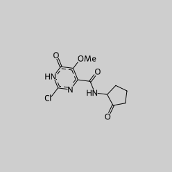 COc1c(C(=O)NC2CCCC2=O)nc(Cl)[nH]c1=O